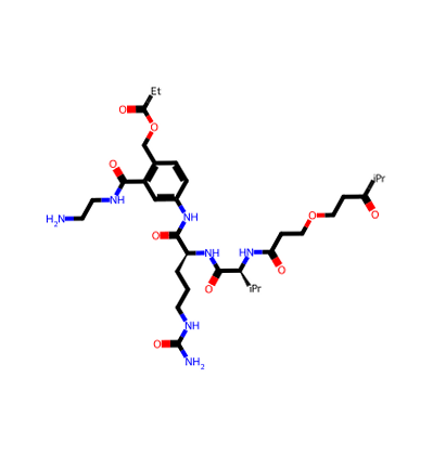 CCC(=O)OCc1ccc(NC(=O)[C@H](CCCNC(N)=O)NC(=O)[C@@H](NC(=O)CCOCCC(=O)C(C)C)C(C)C)cc1C(=O)NCCN